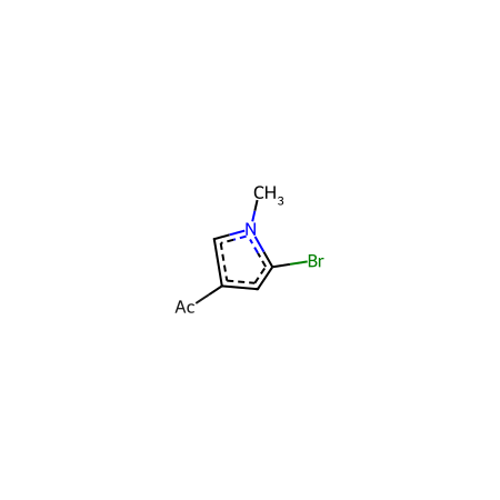 CC(=O)c1cc(Br)n(C)c1